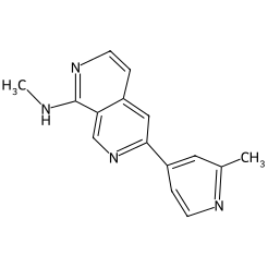 CNc1nccc2cc(-c3ccnc(C)c3)ncc12